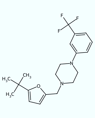 CC(C)(C)c1ccc(CN2CCN(c3cccc(C(F)(F)F)c3)CC2)o1